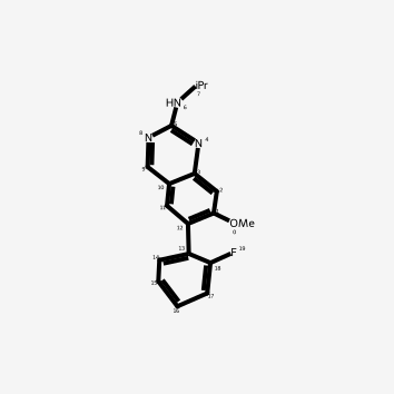 COc1cc2nc(NC(C)C)ncc2cc1-c1ccccc1F